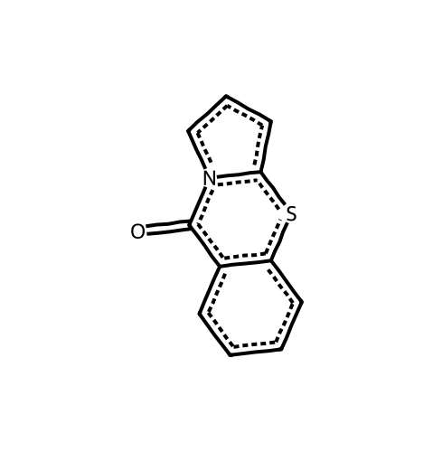 O=c1c2ccccc2sc2cccn12